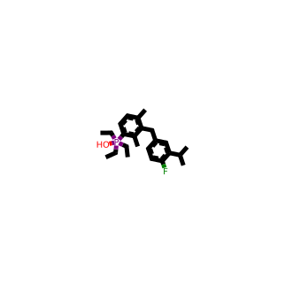 CCP(O)(CC)(CC)c1ccc(C)c(Cc2ccc(F)c(C(C)C)c2)c1C